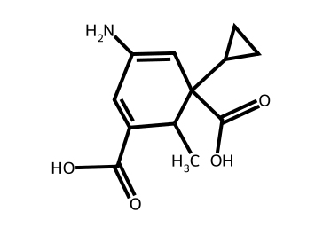 CC1C(C(=O)O)=CC(N)=CC1(C(=O)O)C1CC1